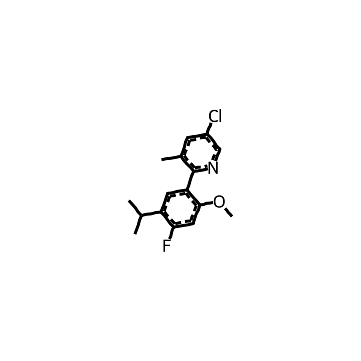 COc1cc(F)c(C(C)C)cc1-c1ncc(Cl)cc1C